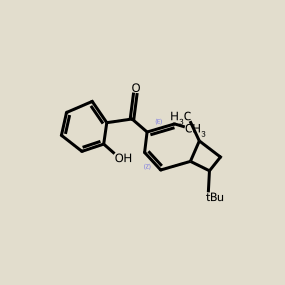 C/C=C(\C=C/C1C(C)CC1C(C)(C)C)C(=O)c1ccccc1O